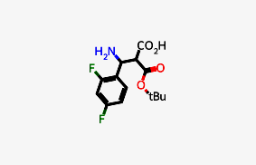 CC(C)(C)OC(=O)C(C(=O)O)C(N)c1ccc(F)cc1F